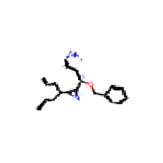 C=CCC(CC=C)C1N=C1/C(=C\C=C/N)OCc1ccccc1